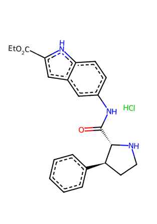 CCOC(=O)c1cc2cc(NC(=O)[C@@H]3NCC[C@H]3c3ccccc3)ccc2[nH]1.Cl